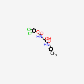 O=C(COc1ccc(Cl)c(Cl)c1)NCC[C@H](O)CC(=O)NCc1ccc(C(F)(F)F)cc1